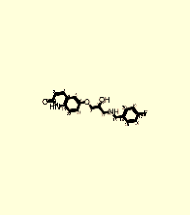 O=c1ccc2cc(OCC(O)CNCc3ccc(F)cc3)ccc2[nH]1